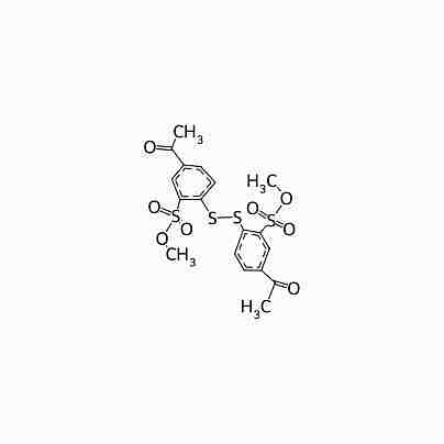 COS(=O)(=O)c1cc(C(C)=O)ccc1SSc1ccc(C(C)=O)cc1S(=O)(=O)OC